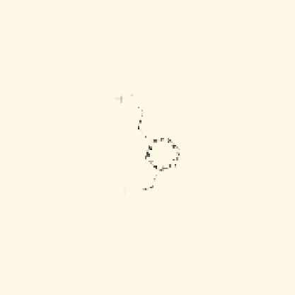 CCCc1cc[c]c(CC)c1